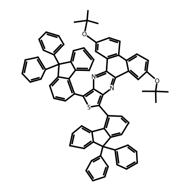 CC(C)(C)Oc1ccc2c3ccc(OC(C)(C)C)cc3c3nc4c(-c5cccc6c5-c5ccccc5C6(c5ccccc5)c5ccccc5)sc(-c5cccc6c5-c5ccccc5C6(c5ccccc5)c5ccccc5)c4nc3c2c1